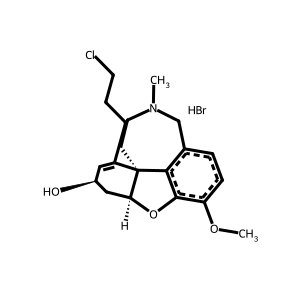 Br.COc1ccc2c3c1O[C@H]1C[C@@H](O)C=C(CCCCl)[C@@]31CCN(C)C2